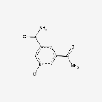 NC(=O)c1cc(C(N)=O)c[n+]([O-])c1